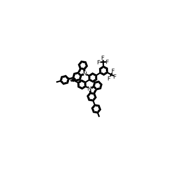 Cc1ccc(-c2ccc3c(c2)c2ccccc2n3-c2ccc(C#N)cc2-c2ccc(-c3cc(C(F)(F)F)cc(C(F)(F)F)c3)cc2-n2c3ccccc3c3cc(-c4ccc(C)cc4)ccc32)cc1